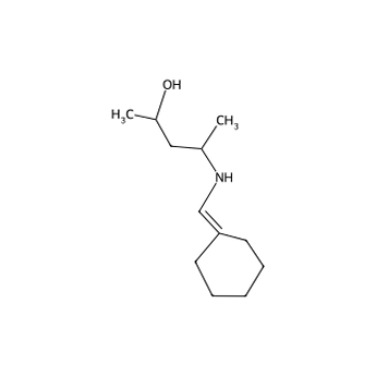 CC(O)CC(C)NC=C1CCCCC1